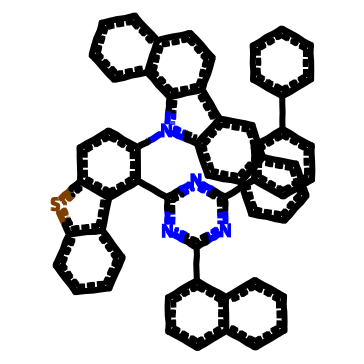 c1ccc(-c2cccc(-c3nc(-c4cccc5ccccc45)nc(-c4c(-n5c6cc7ccccc7cc6c6ccc7ccccc7c65)ccc5sc6ccccc6c45)n3)c2)cc1